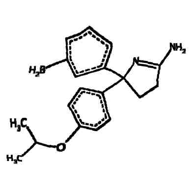 Bc1cccc(C2(c3ccc(OC(C)C)cc3)CCC(N)=N2)c1